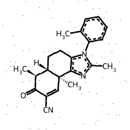 Cc1ccccc1-n1c(C)nc2c1CC[C@H]1[C@H](C)C(=O)C(C#N)=C[C@]21C